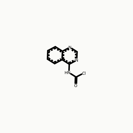 O=C(Cl)Nc1ncnc2ccccc12